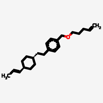 C=CCCCOCc1ccc(CC[C@H]2CC[C@H](C=CC)CC2)cc1